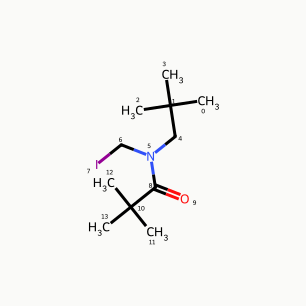 CC(C)(C)CN(CI)C(=O)C(C)(C)C